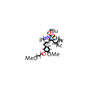 COCCCOc1cc(C[C@@H](C[C@H](NC(=O)OC(C)(C)C)C(C)C[C@H](C(C)=O)C(C)C)C(C)C)ccc1OC